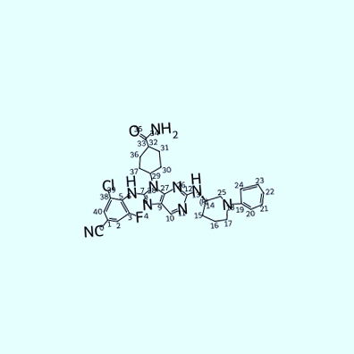 N#Cc1cc(F)c(Nc2nc3cnc(N[C@@H]4CCCN(c5ccccc5)C4)nc3n2C2CCC(C(N)=O)CC2)c(Cl)c1